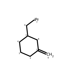 C=C1CCCC(CC(C)C)C1